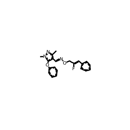 Cc1nn(C)c(Oc2ccccc2)c1C=NOCC(F)=Cc1ccccc1